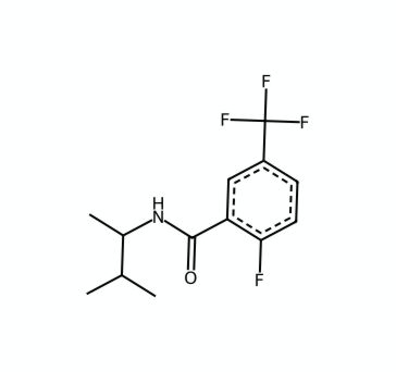 CC(C)C(C)NC(=O)c1cc(C(F)(F)F)ccc1F